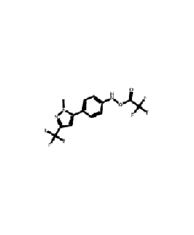 Cn1nc(C(F)(F)F)cc1-c1ccc(NOC(=O)C(F)(F)F)cc1